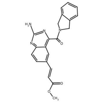 COC(=O)/C=C/c1ccc2nc(N)nc(C(=O)N3Cc4ccccc4C3)c2c1